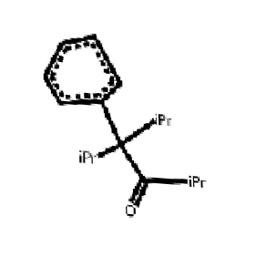 CC(C)C(=O)C(c1ccccc1)(C(C)C)C(C)C